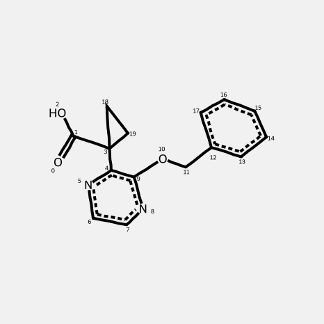 O=C(O)C1(c2nccnc2OCc2ccccc2)CC1